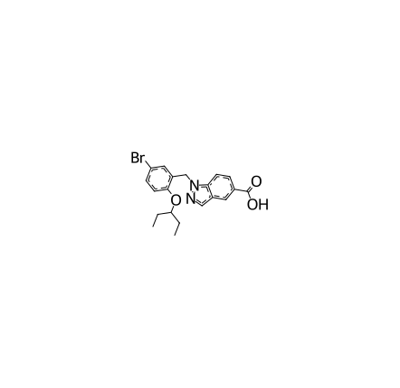 CCC(CC)Oc1ccc(Br)cc1Cn1ncc2cc(C(=O)O)ccc21